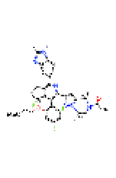 C=CC(=O)N1C[C@H](C)n2nc(-c3nc(-c4ccc5c(c4)nc(C)n5C)c4c(c3-c3c(F)cc(F)cc3OCCOC)[C@H](F)CC4)cc2[C@H]1C